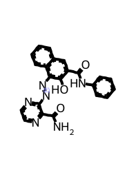 NC(=O)c1nccnc1/N=N/c1c(O)c(C(=O)Nc2ccccc2)cc2ccccc12